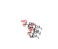 C=C(C)C(=O)O.C=C(C)C(=O)O.C=C(C)C(=O)O.[Fe]